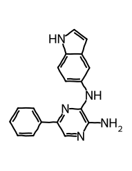 Nc1ncc(-c2ccccc2)nc1Nc1ccc2[nH]ccc2c1